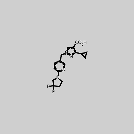 O=C(O)c1cn(Cc2ccc(N3CCC(F)(F)C3)nc2)nc1C1CC1